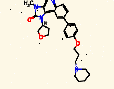 Cn1c(=O)n([C@H]2CCOC2)c2c3cc(-c4ccc(OCCCN5CCCCC5)cc4)ccc3ncc21